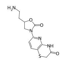 NCCC1CN(c2ccc3c(n2)NC(=O)CS3)C(=O)O1